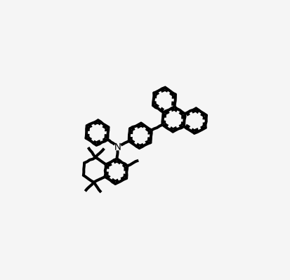 Cc1ccc2c(c1N(c1ccccc1)c1ccc(-c3cc4ccccc4c4ccccc34)cc1)C(C)(C)CCC2(C)C